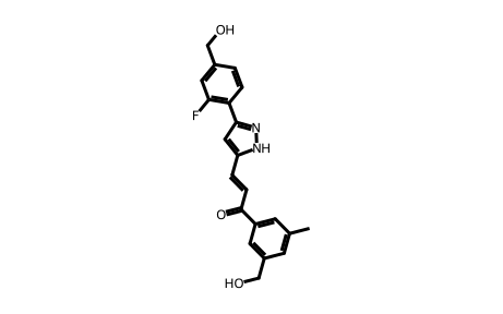 Cc1cc(CO)cc(C(=O)/C=C/c2cc(-c3ccc(CO)cc3F)n[nH]2)c1